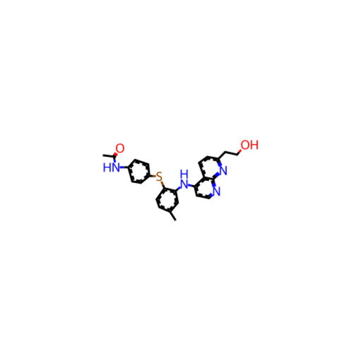 CC(=O)Nc1ccc(Sc2ccc(C)cc2Nc2ccnc3nc(CCO)ccc23)cc1